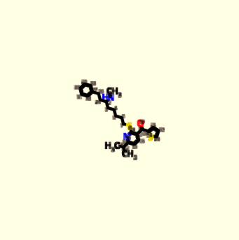 CNC(CCCCCSc1nc(C(C)C)ccc1C(=O)c1cccs1)CCc1ccccc1